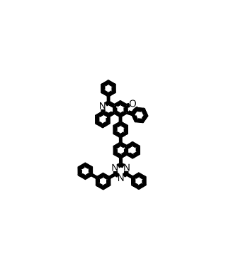 c1ccc(-c2cccc(-c3nc(-c4ccccc4)nc(-c4ccc(-c5ccc(-c6c7c(cc8c(-c9ccccc9)nc9ccccc9c68)oc6ccccc67)cc5)c5ccccc45)n3)c2)cc1